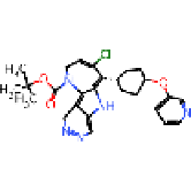 CC(C)(C)OC(=O)N1CC=C(Cl)C([C@H]2CC[C@H](Oc3cccnc3)CC2)=c2[nH]c3c(c21)CN=NC=3